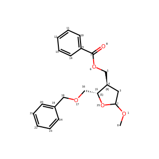 COC1C[C@H](COC(=O)c2ccccc2)[C@@H](COCc2ccccc2)O1